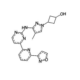 Cc1cn(C2CC(O)C2)nc1Nc1nccc(-c2cccc(-c3ccon3)n2)n1